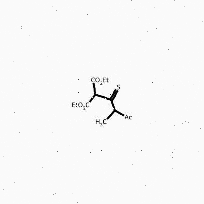 CCOC(=O)C(C(=O)OCC)C(=S)C(C)C(C)=O